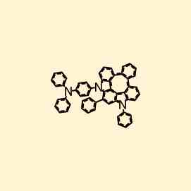 c1ccc(-c2cc3c4c5c(cccc5n3-c3ccccc3)c3ccccc3c3cccc5c3c4c2n5-c2ccc(N(c3ccccc3)c3ccccc3)cc2)cc1